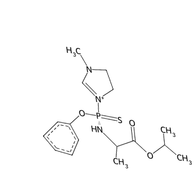 CC(C)OC(=O)C(C)N[P@](=S)(Oc1ccccc1)[N+]1=CN(C)CC1